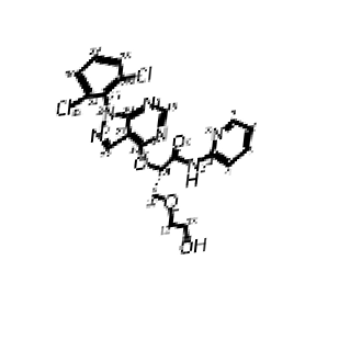 O=C(Nc1ccccn1)[C@H](COCCO)Oc1ncnc2c1cnn2-c1c(Cl)cccc1Cl